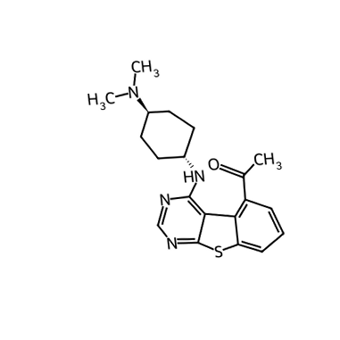 CC(=O)c1cccc2sc3ncnc(N[C@H]4CC[C@H](N(C)C)CC4)c3c12